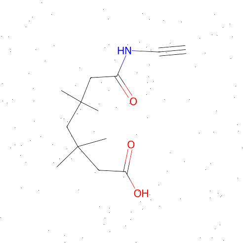 C#CNC(=O)CC(C)(C)CC(C)(C)CC(=O)O